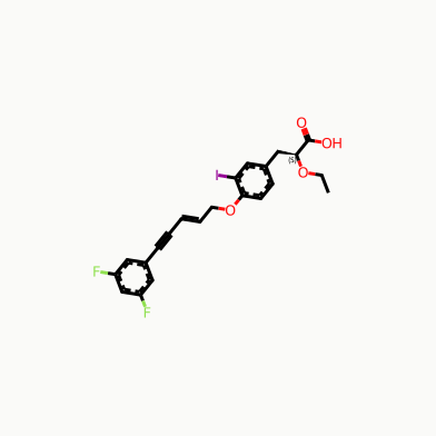 CCO[C@@H](Cc1ccc(OCC=CC#Cc2cc(F)cc(F)c2)c(I)c1)C(=O)O